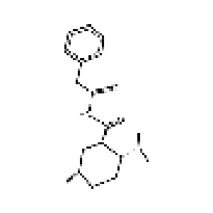 CC(C)[C@@H]1CC[C@@H](C)C[C@H]1C(=O)NC(=O)Cc1ccccc1